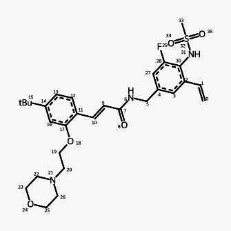 C=Cc1cc(CNC(=O)/C=C/c2ccc(C(C)(C)C)cc2OCCN2CCOCC2)cc(F)c1NS(C)(=O)=O